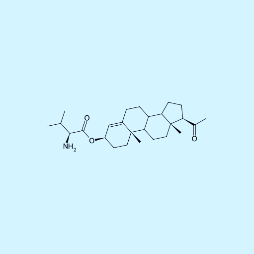 CC(=O)[C@@H]1CCC2C3CCC4=C[C@H](OC(=O)[C@@H](N)C(C)C)CC[C@@]4(C)C3CC[C@]21C